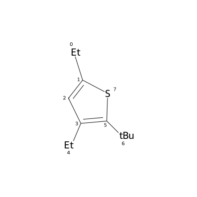 CCc1cc(CC)c(C(C)(C)C)s1